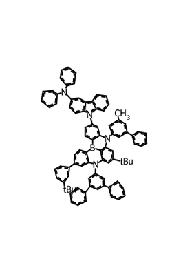 Cc1cc(-c2ccccc2)cc(N2c3cc(-n4c5ccccc5c5cc(N(c6ccccc6)c6ccccc6)ccc54)ccc3B3c4ccc(-c5cccc(C(C)(C)C)c5)cc4N(c4cc(-c5ccccc5)cc(-c5ccccc5)c4)c4cc(C(C)(C)C)cc2c43)c1